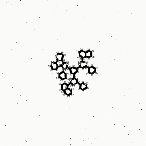 c1ccc(-c2cc(-c3cc(-c4cc(-c5ccccc5)nc(-c5cccc6ccccc56)n4)cc(-c4nc5c6cccnc6c6ncccc6c5n4-c4ccccc4)c3)nc(-c3cccc4ccccc34)n2)cc1